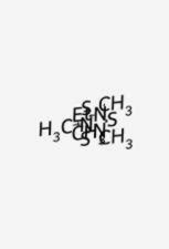 CCC(C)(C)n1c(=S)n(C)c(=S)n(C)c1=S